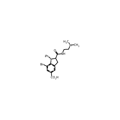 CC(C)N1c2c(Br)cc(C(=O)O)cc2CC1C(=O)NCCN(C)C